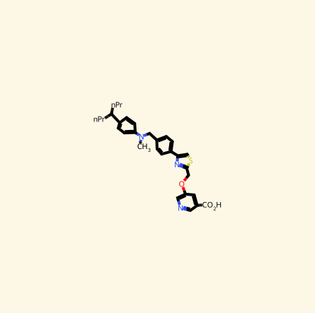 CCCC(CCC)c1ccc(N(C)Cc2ccc(-c3csc(COc4cncc(C(=O)O)c4)n3)cc2)cc1